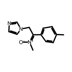 Cc1ccc(/C(Cn2ccnc2)=[N+](\C)[O-])cc1